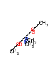 CCCCCC/C=C/COC(=O)CCCCCCCC(CCCCCCCC(=O)OC/C=C/CCCCCC)CN(CC)CCN(C)CC